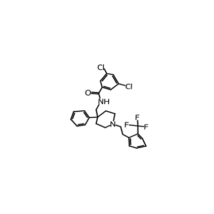 O=C(NCC1(c2ccccc2)CCN(CCc2ccccc2C(F)(F)F)CC1)c1cc(Cl)cc(Cl)c1